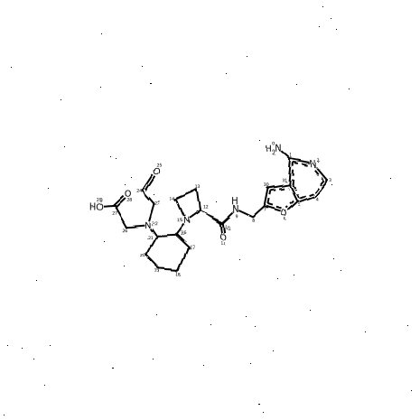 Nc1nccc2oc(CNC(=O)[C@@H]3CCN3C3CCCCC3N(CC=O)CC(=O)O)cc12